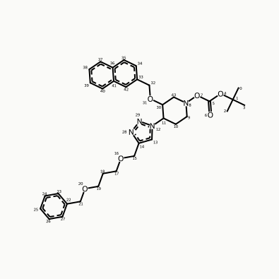 CC(C)(C)OC(=O)ON1CCC(n2cc(COCCCOCc3ccccc3)nn2)C(OCc2ccc3ccccc3c2)C1